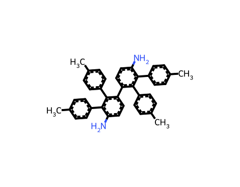 Cc1ccc(-c2c(N)ccc(-c3ccc(N)c(-c4ccc(C)cc4)c3-c3ccc(C)cc3)c2-c2ccc(C)cc2)cc1